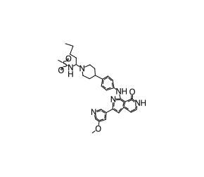 CCCCC(NS(C)(=O)=O)N1CCC(c2ccc(Nc3nc(-c4cncc(OC)c4)cc4cc[nH]c(=O)c34)cc2)CC1